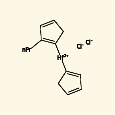 CCCC1=[C]([Hf+2][C]2=CC=CC2)CC=C1.[Cl-].[Cl-]